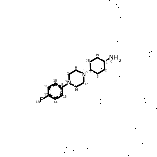 N[C@H]1CC[C@H](N2CCN(c3ccc(F)cc3)CC2)CC1